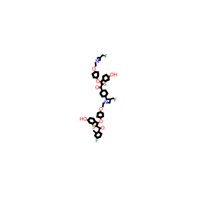 Cc1cc(F)ccc1C(=O)c1sc2cc(O)ccc2c1Oc1ccc(OCCN2CC(CF)C2c2ccc(C(=O)c3sc4cc(O)ccc4c3Oc3ccc(OCCN4CC(CF)C4)cc3)cc2)cc1